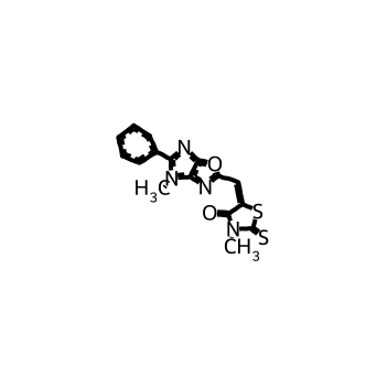 CN1C(=O)/C(=C\c2nc3c(nc(-c4ccccc4)n3C)o2)SC1=S